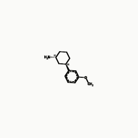 COc1cccc([C@@H]2CCC[C@@H](N)C2)c1